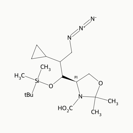 CC1(C)OC[C@H](C(O[Si](C)(C)C(C)(C)C)C(CN=[N+]=[N-])C2CC2)N1C(=O)O